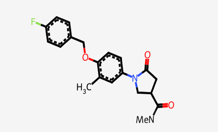 CNC(=O)C1CC(=O)N(c2ccc(OCc3ccc(F)cc3)c(C)c2)C1